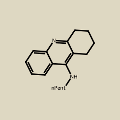 CCCCCNc1c2c(nc3ccccc13)CCCC2